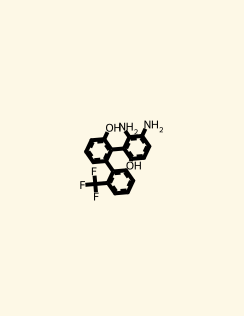 Nc1ccc(O)c(-c2c(O)cccc2-c2ccccc2C(F)(F)F)c1N